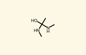 CNC(C)(O)NC